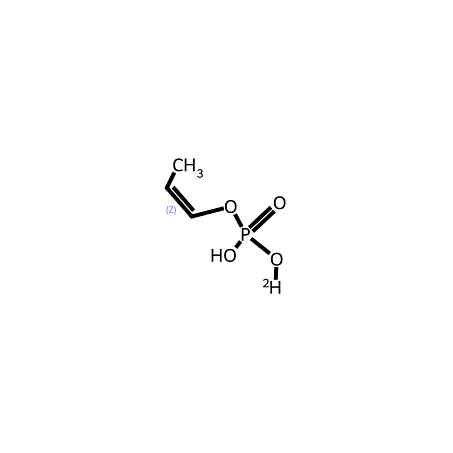 [2H]OP(=O)(O)O/C=C\C